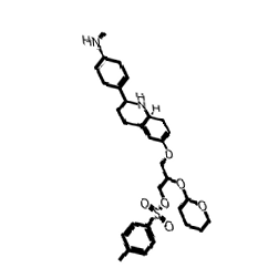 CN[C@H]1CC=C(C2CCC3=CC(OCC(COS(=O)(=O)c4ccc(C)cc4)OC4CCCCO4)=CC[C@@H]3N2)CC1